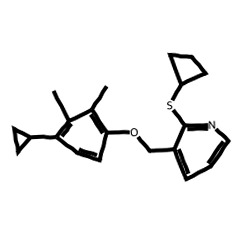 Cc1c(OCc2cccnc2SC2CCC2)ccc(C2CC2)c1C